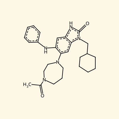 CC(=O)N1CCCN(c2cc3c(cc2Nc2ccccc2)[nH]c(=O)n3CC2CCCCC2)CC1